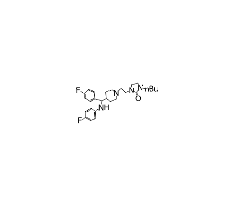 CCCCN1CCN(CCN2CCC(C(Nc3ccc(F)cc3)c3ccc(F)cc3)CC2)C1=O